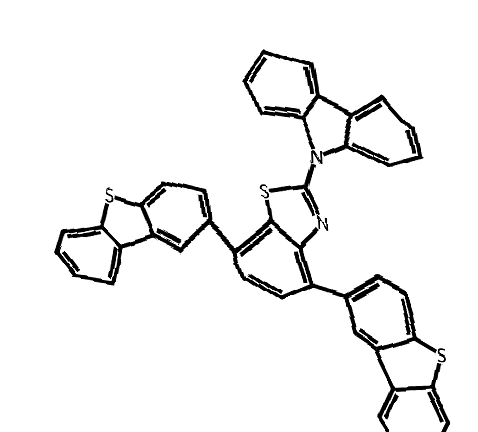 c1ccc2c(c1)sc1ccc(-c3ccc(-c4ccc5sc6ccccc6c5c4)c4sc(-n5c6ccccc6c6ccccc65)nc34)cc12